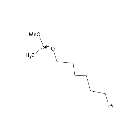 CO[SiH](C)OCCCCCCC(C)C